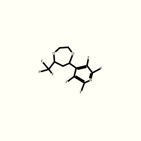 Fc1nc(F)c(F)c(C2CC(C(F)(F)F)OCCO2)c1F